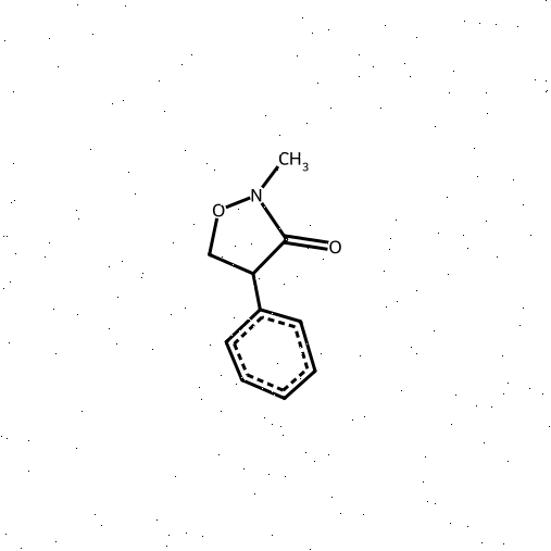 CN1OCC(c2ccccc2)C1=O